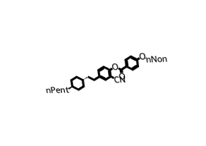 CCCCCCCCCOc1ccc(C(=O)Oc2ccc(CC[C@H]3CC[C@H](CCCCC)CC3)cc2C#N)cc1